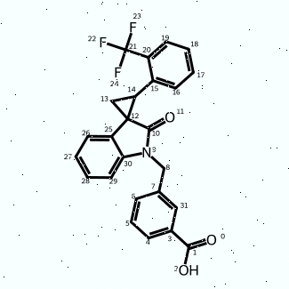 O=C(O)c1cccc(CN2C(=O)C3(CC3c3ccccc3C(F)(F)F)c3ccccc32)c1